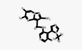 [2H]c1nc2c(C(=O)Nc3cncc(F)c3-c3cncn3C([2H])([2H])[2H])c(N)nn2cc1F